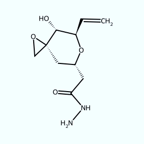 C=C[C@H]1O[C@H](CC(=O)NN)C[C@@]2(CO2)[C@@H]1O